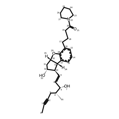 CC#CC[C@@H](C)[C@@H](O)/C=C/[C@@H]1[C@H]2c3cccc(CCCC(=O)N4CCCCC4)c3O[C@H]2C[C@H]1O